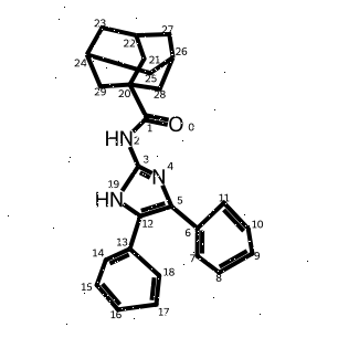 O=C(Nc1nc(-c2ccccc2)c(-c2ccccc2)[nH]1)C12CC3CC(CC(C3)C1)C2